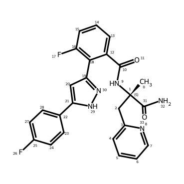 C[C@@](Cc1ccccn1)(NC(=O)c1cccc(F)c1-c1cc(-c2ccc(F)cc2)[nH]n1)C(N)=O